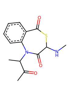 CNC1SC(=O)c2ccccc2N(C(C)C(C)=O)C1=O